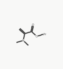 C=C(C(=O)OC(C)C)N(C)C